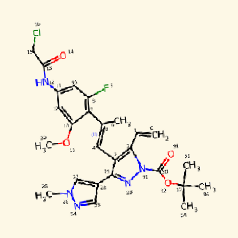 C=Cc1c(/C=C(\C)c2c(F)cc(NC(=O)CCl)cc2OC)c(-c2cnn(C)c2)nn1C(=O)OC(C)(C)C